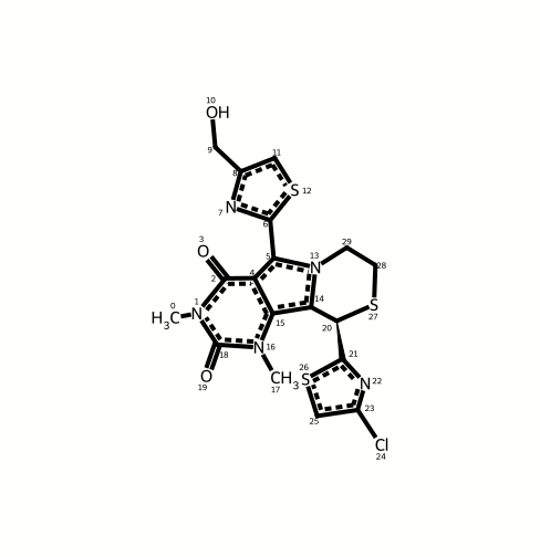 Cn1c(=O)c2c(-c3nc(CO)cs3)n3c(c2n(C)c1=O)[C@H](c1nc(Cl)cs1)SCC3